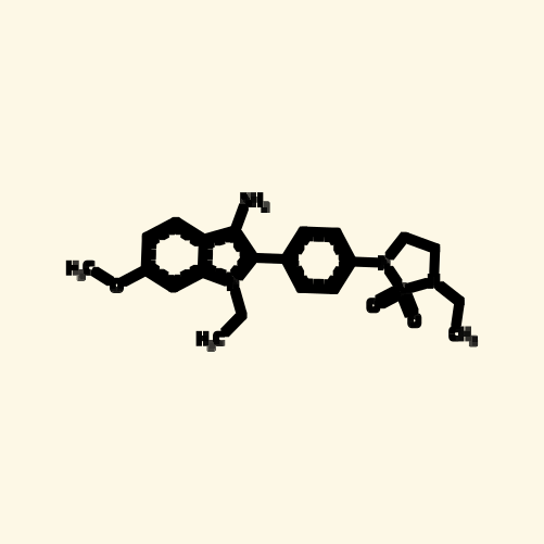 CCN1CCN(c2ccc(-c3c(N)c4ccc(OC)cc4n3CC)cc2)S1(=O)=O